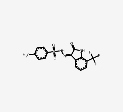 Cc1ccc(S(=O)(=O)NN=C2C(=O)Nc3c2cccc3C(F)(F)F)cc1